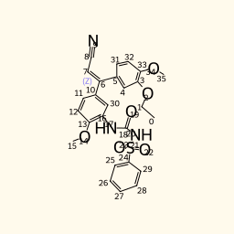 CCOc1cc(/C(=C\C#N)c2ccc(OC)c(NC(=O)NS(=O)(=O)c3ccccc3)c2)ccc1OC